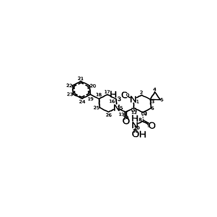 CN1CC2(CC2)C[C@H](C(=O)NO)[C@H]1C(=O)N1CCC(c2ccccc2)CC1